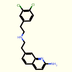 Nc1ccc2ccc(CCNCCc3ccc(Cl)c(Cl)c3)cc2n1